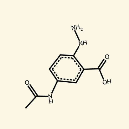 CC(=O)Nc1ccc(NN)c(C(=O)O)c1